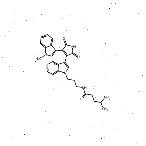 CC(N)CCC(=O)NCCCn1cc(C2=C(c3cn(C)c4ccccc34)C(=O)NC2=O)c2ccccc21